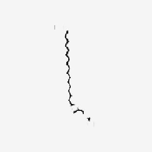 CCCCCCCCCCCCCCCCCC1OCC(COC(=O)O)O1